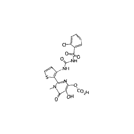 Cn1c(-c2sccc2NC(=O)NS(=O)(=O)c2ccccc2Cl)nc(OC(=O)O)c(O)c1=O